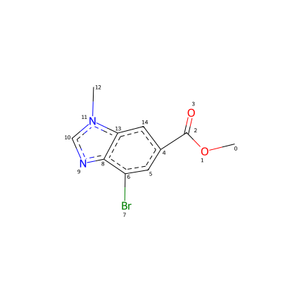 COC(=O)c1cc(Br)c2ncn(C)c2c1